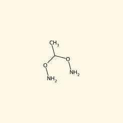 CC(ON)ON